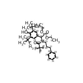 CCOP(=O)(OCC)C(c1cc(C(C)(C)C)c(O)c(C(C)(C)C)c1)N(CCCc1ccccc1)C(=O)C(F)(F)F